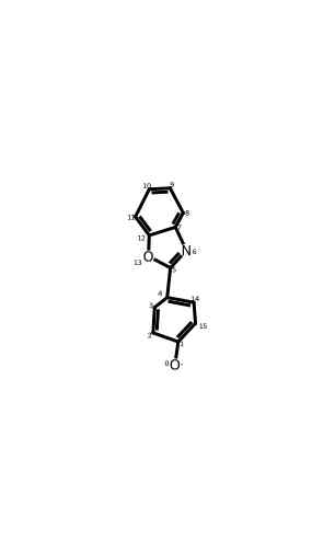 [O]c1ccc(-c2nc3ccccc3o2)cc1